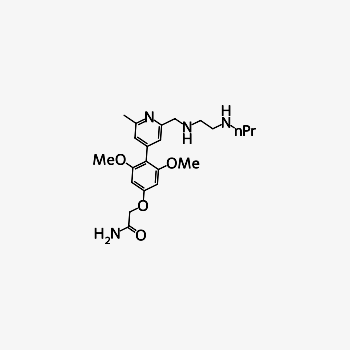 CCCNCCNCc1cc(-c2c(OC)cc(OCC(N)=O)cc2OC)cc(C)n1